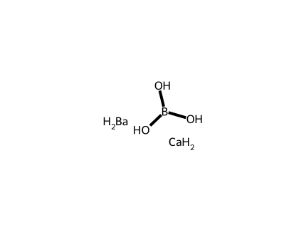 OB(O)O.[BaH2].[CaH2]